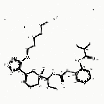 CCCCCCOc1nsnc1C1=CCC[N+](C)(C(CC)OC(=O)Cc2ccccc2OC(=O)C(C)C)C1.[I-]